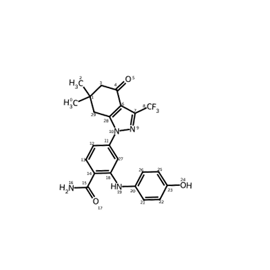 CC1(C)CC(=O)c2c(C(F)(F)F)nn(-c3ccc(C(N)=O)c(Nc4ccc(O)cc4)c3)c2C1